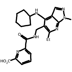 CCc1nc2c(cnn2C)c(NC2CCCCC2)c1CNC(=O)c1cccc(C(=O)O)n1